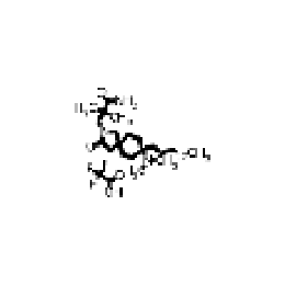 COCCCC1(N(C)C)CCC2(CC1)CC(=O)N(CC(C)(C)C(N)=O)C2.O=C(O)C(F)(F)F